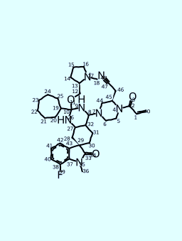 C=CC(=O)N1CCN(C2NC(OC[C@H]3CCCN3C)(C3CCCCCC3)NC3C[C@@]4(CCC32)C(=O)N(C)c2c(F)cccc24)C[C@H]1CC#N